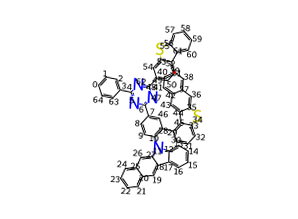 c1ccc(-c2nc(-c3ccc(-n4c5ccccc5c5cc6ccccc6cc54)c(-c4cccc5sc6cc7ccccc7cc6c45)c3)nc(-c3ccc4c(c3)sc3ccccc34)n2)cc1